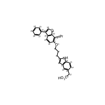 CCCc1c(OCCCc2cc3cc(CC(=O)O)ccc3[nH]2)ccc2c(-c3ccccc3)coc12